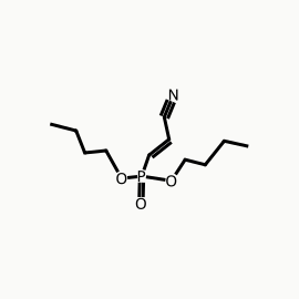 CCCCOP(=O)(C=CC#N)OCCCC